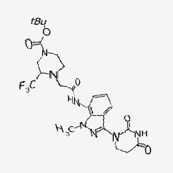 Cn1nc(N2CCC(=O)NC2=O)c2cccc(NC(=O)CN3CCN(C(=O)OC(C)(C)C)C[C@@H]3C(F)(F)F)c21